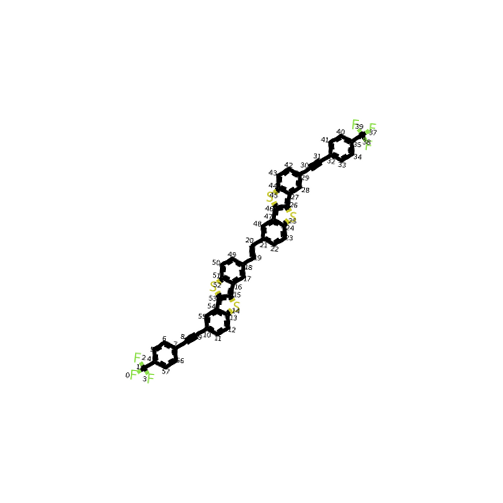 FC(F)(F)c1ccc(C#Cc2ccc3sc4c5cc(/C=C/c6ccc7sc8c9cc(C#Cc%10ccc(C(F)(F)F)cc%10)ccc9sc8c7c6)ccc5sc4c3c2)cc1